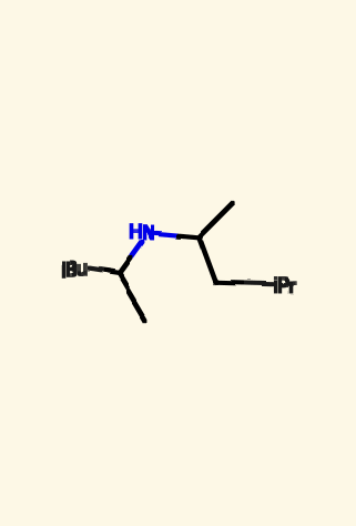 CCC(C)C(C)NC(C)CC(C)C